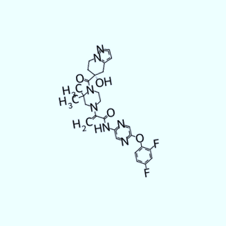 C=C(C(=O)Nc1cnc(Oc2ccc(F)cc2F)cn1)N1CCN(C(=O)[C@@]2(O)CCn3nccc3C2)C(C)(C)C1